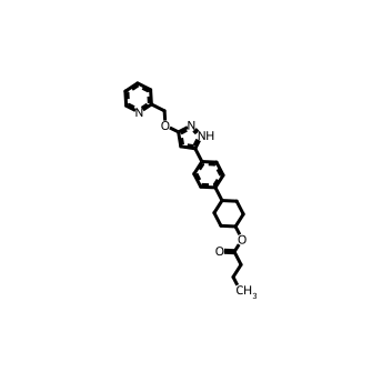 CCCC(=O)OC1CCC(c2ccc(-c3cc(OCc4ccccn4)n[nH]3)cc2)CC1